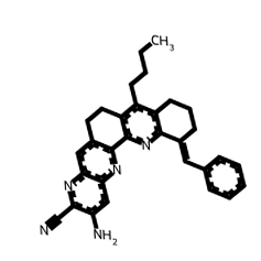 CCCCc1c2c(nc3c1CCc1cc4nc(C#N)c(N)cc4nc1-3)C(=Cc1ccccc1)CCC2